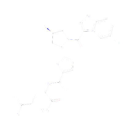 CNC(=O)[C@H](CCC(N)=O)NC(=O)c1csc([C@@H]2C[C@@H](N)CN2C(=O)c2cnc3ccc(Cl)cn23)n1